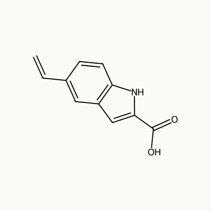 C=Cc1ccc2[nH]c(C(=O)O)cc2c1